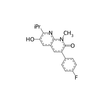 CC(C)c1nc2c(cc1O)cc(-c1ccc(F)cc1)c(=O)n2C